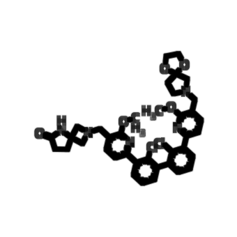 COc1nc(-c2cccc(-c3cccc(-c4ccc(CN5CCC6(C5)OCCO6)c(OC)n4)c3Cl)c2Cl)ccc1CN1CC2(CCC(=O)N2)C1